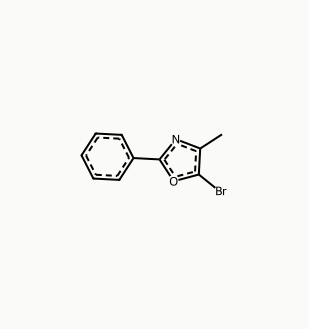 Cc1nc(-c2ccccc2)oc1Br